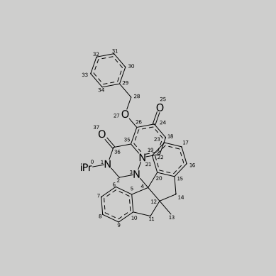 CC(C)N1CN(C23c4ccccc4CC2(C)Cc2ccccc23)n2ccc(=O)c(OCc3ccccc3)c2C1=O